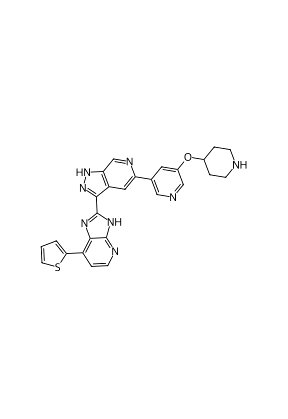 c1csc(-c2ccnc3[nH]c(-c4n[nH]c5cnc(-c6cncc(OC7CCNCC7)c6)cc45)nc23)c1